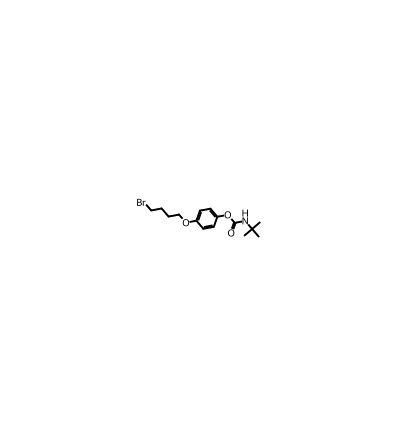 CC(C)(C)NC(=O)Oc1ccc(OCCCCBr)cc1